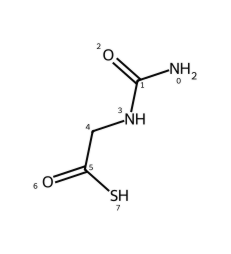 NC(=O)NCC(=O)S